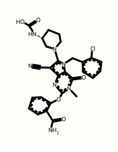 Cn1c(Oc2ccccc2C(N)=O)nc2c(C#N)c(N3CCC[C@@H](NC(=O)O)C3)n(Cc3ccccc3Cl)c2c1=O